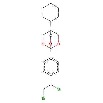 BrCC(Br)c1ccc(C23OCC(C4CCCCC4)(CO2)CO3)cc1